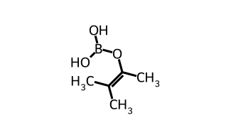 CC(C)=C(C)OB(O)O